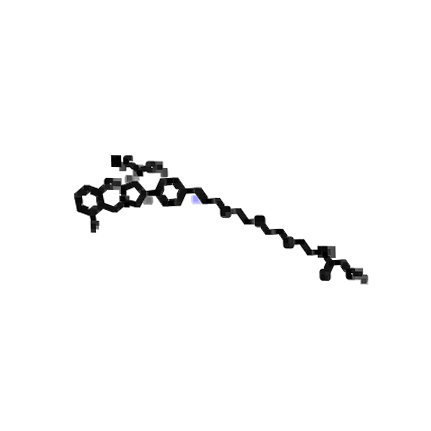 C=CC(=O)NCCOCCOCCOC/C=C/c1ccc([C@H]2CN(Cc3c(C)cccc3F)C[C@@H]2N(C)C)cc1